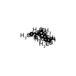 Cc1ccc(/C=C(\C#N)C(=O)NC23CCC4C(C(=O)C=C5C6(C)C=C(C#N)C(=O)C(C)C6CCC54C)C2CC(C)(C)CC3)cc1